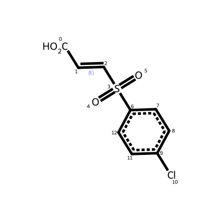 O=C(O)/C=C/S(=O)(=O)c1ccc(Cl)cc1